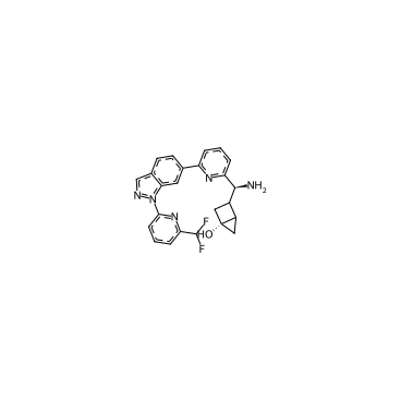 N[C@H](c1cccc(-c2ccc3cnn(-c4cccc(C(F)F)n4)c3c2)n1)C1C[C@]2(O)CC12